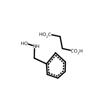 O=C(O)CCC(=O)O.ONCc1ccccc1